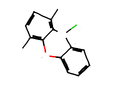 Cc1ccc(C)c2c1Oc1ccccc1[As]2Cl